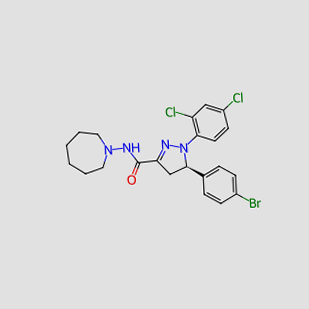 O=C(NN1CCCCCC1)C1=NN(c2ccc(Cl)cc2Cl)[C@@H](c2ccc(Br)cc2)C1